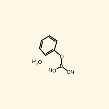 O.OB(O)Oc1ccccc1